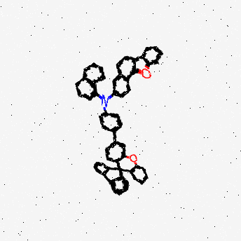 c1ccc2c(c1)Oc1cc(-c3ccc(N(c4ccc5c(ccc6c7ccccc7oc56)c4)c4cccc5ccccc45)cc3)ccc1C21c2ccccc2-c2ccccc21